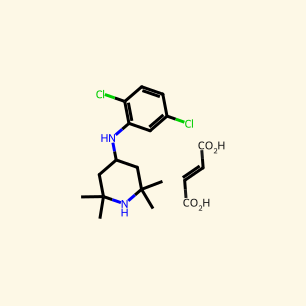 CC1(C)CC(Nc2cc(Cl)ccc2Cl)CC(C)(C)N1.O=C(O)/C=C/C(=O)O